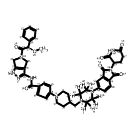 [2H]C1([2H])N(CC2CCN(c3ccc(C(=O)Nc4n[nH]c5c4CN(C(=O)[C@H](OC)c4ccccc4)C5)cc3)CC2)C([2H])([2H])C([2H])([2H])N(c2ccc3c(c2)C(=O)N(C2CCC(=O)NC2=O)C3=O)C1([2H])[2H]